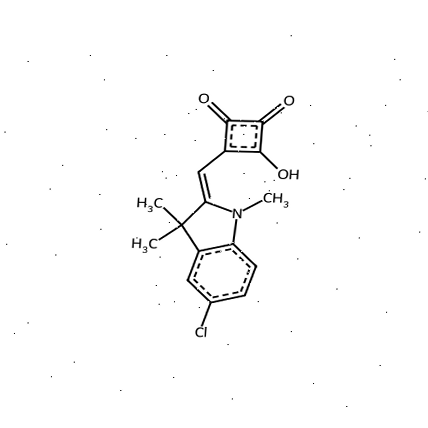 CN1/C(=C\c2c(O)c(=O)c2=O)C(C)(C)c2cc(Cl)ccc21